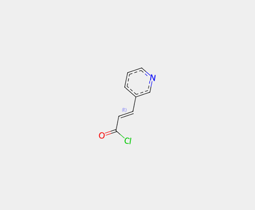 O=C(Cl)/C=C/c1cccnc1